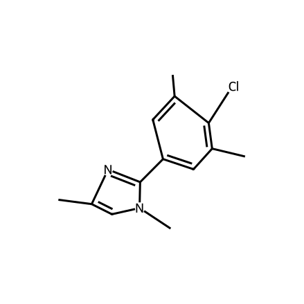 Cc1cn(C)c(-c2cc(C)c(Cl)c(C)c2)n1